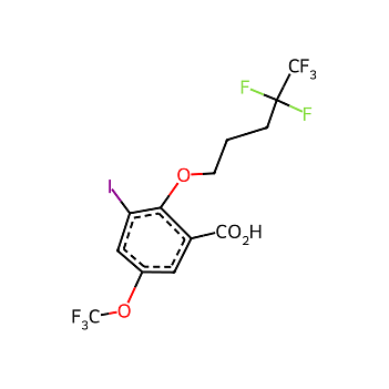 O=C(O)c1cc(OC(F)(F)F)cc(I)c1OCCCC(F)(F)C(F)(F)F